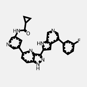 O=C(Nc1cncc(-c2ccc3[nH]nc(-c4cc5c(-c6cccc(F)c6)cncc5[nH]4)c3n2)c1)C1CC1